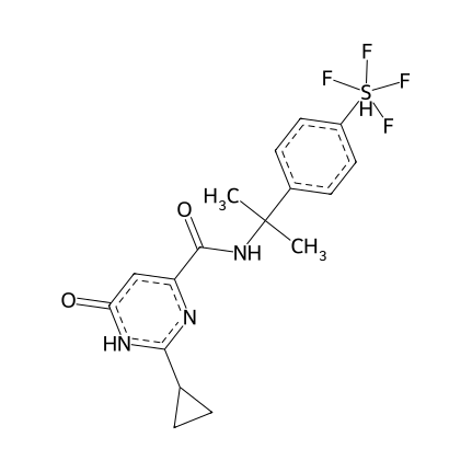 CC(C)(NC(=O)c1cc(=O)[nH]c(C2CC2)n1)c1ccc([SH](F)(F)(F)F)cc1